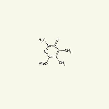 COc1nn(C)c(=O)c(C)c1C